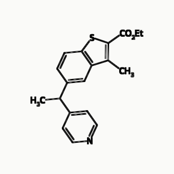 CCOC(=O)c1sc2ccc(C(C)c3ccncc3)cc2c1C